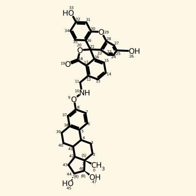 C[C@]12CCC3c4ccc(ONCc5cccc6c5C(=O)OC65c6ccc(O)cc6Oc6cc(O)ccc65)cc4CCC3C1C[C@@H](O)[C@@H]2O